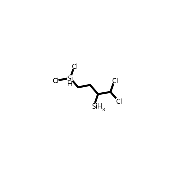 [SiH3]C(CC[SiH](Cl)Cl)C(Cl)Cl